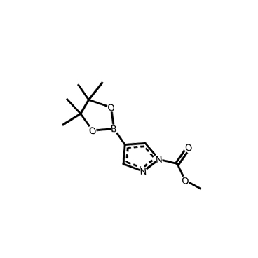 COC(=O)n1cc(B2OC(C)(C)C(C)(C)O2)cn1